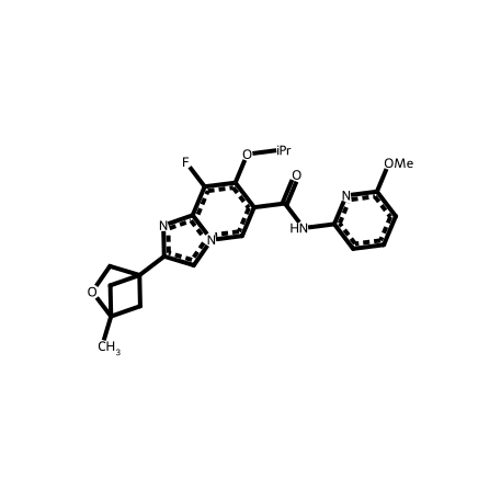 COc1cccc(NC(=O)c2cn3cc(C45COC(C)(C4)C5)nc3c(F)c2OC(C)C)n1